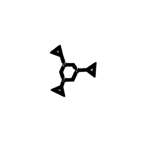 C1CC1N1CN(C2CC2)CN(C2CC2)C1